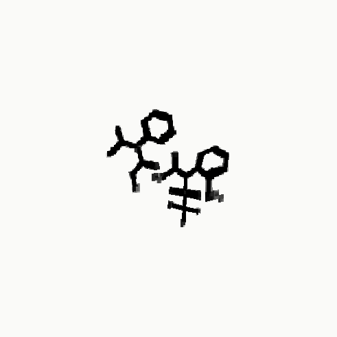 CC(C)N(C(=O)CCl)c1ccccc1.NC(=O)C(c1ccccc1N)S(=O)(=O)C(F)(F)F